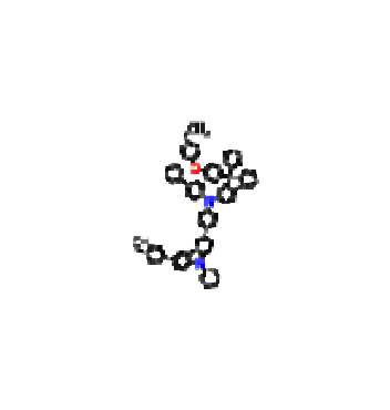 C=Cc1ccc(Oc2ccc(C3(c4ccccc4)c4ccccc4-c4ccc(N(c5ccc(-c6ccccc6)cc5)c5ccc(-c6ccc7c(c6)c6cc(-c8ccc(C=C)cc8)ccc6n7C6=CC=CCC6)cc5)cc43)cc2)cc1